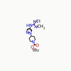 C=N/C(=N\CC)Nc1cnn(C2CCN(C(=O)OC(C)(C)C)CC2)c1